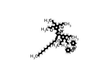 CCCCCCCCCCCCCCC#CC1=C(c2cc(CC(=O)CC)c(CCCC)c(CC(=O)CC)c2)[N+](=[N-])C(c2cc(CC(=O)CC)c(CCCC)c(CC(=O)CC)c2)=C1.c1ccc([O][Ni][O]c2ccccc2)cc1